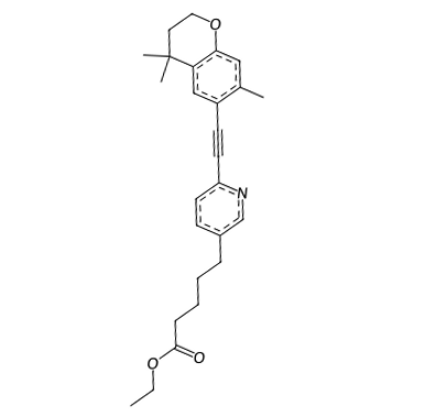 CCOC(=O)CCCCc1ccc(C#Cc2cc3c(cc2C)OCCC3(C)C)nc1